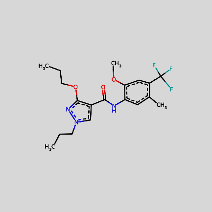 CCCOc1nn(CCC)cc1C(=O)Nc1cc(C)c(C(F)(F)F)cc1OC